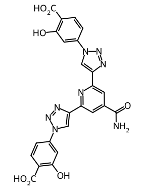 NC(=O)c1cc(-c2cn(-c3ccc(C(=O)O)c(O)c3)nn2)nc(-c2cn(-c3ccc(C(=O)O)c(O)c3)nn2)c1